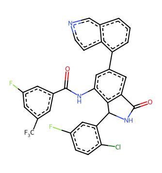 O=C(Nc1cc(-c2cccc3cnccc23)cc2c1C(c1cc(F)ccc1Cl)NC2=O)c1cc(F)cc(C(F)(F)F)c1